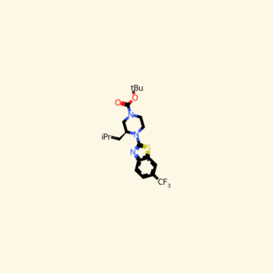 CC(C)C[C@H]1CN(C(=O)OC(C)(C)C)CCN1c1nc2ccc(C(F)(F)F)cc2s1